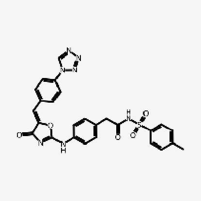 Cc1ccc(S(=O)(=O)NC(=O)Cc2ccc(NC3=NC(=O)/C(=C/c4ccc(-n5cnnn5)cc4)O3)cc2)cc1